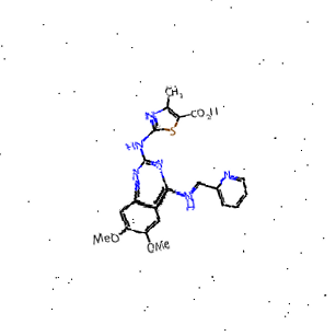 COc1cc2nc(Nc3nc(C)c(C(=O)O)s3)nc(NCc3ccccn3)c2cc1OC